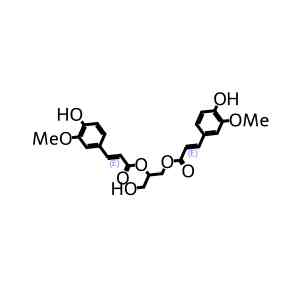 COc1cc(/C=C/C(=O)OCC(CO)OC(=O)/C=C/c2ccc(O)c(OC)c2)ccc1O